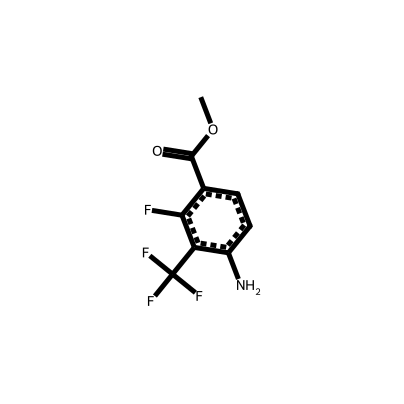 COC(=O)c1ccc(N)c(C(F)(F)F)c1F